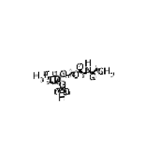 C=CC(=O)NCC(=O)OCCOC1C2OC(CC2C)C1O[SH](=O)=O